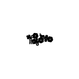 CC(C)(C)C(=O)OC1CC(Cc2ccccc2)(C(=O)c2ccc3c(c2)c(I)cn3S(=O)(=O)c2ccccc2)CN1